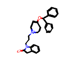 O=C1Cc2ccccc2N1CCCN1CCC(OC(c2ccccc2)c2ccccc2)CC1